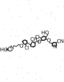 Cc1c(COc2cc(OCc3cncc(C#N)c3)c(CO)cc2Cl)cccc1-c1cccc(OCCCN2CC[C@@H](O)C2)c1Cl